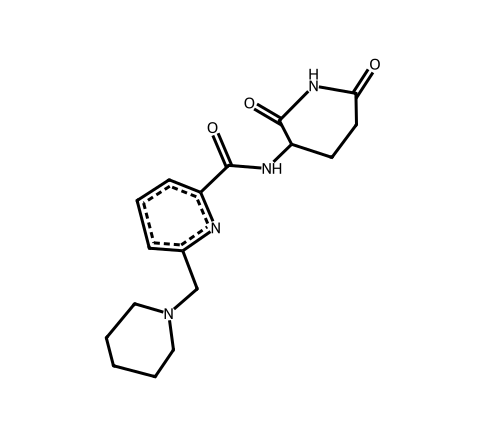 O=C1CCC(NC(=O)c2cccc(CN3CCCCC3)n2)C(=O)N1